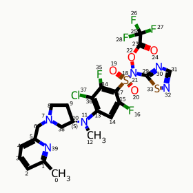 Cc1cccc(CN2CC[C@H](N(C)c3cc(F)c(S(=O)(=O)N(OC(=O)C(F)(F)F)c4ncns4)c(F)c3Cl)C2)n1